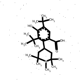 CN1C(C)(C)CC(c2c(C(=O)O)cc(C(C)(C)C)c(O)c2C(C)(C)C)CC1(C)C